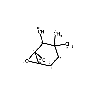 CC1(C)CCC2OC2(C)C1C#N